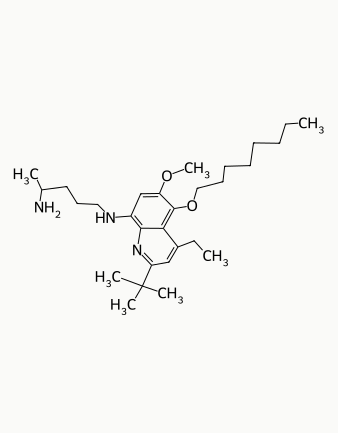 CCCCCCCCOc1c(OC)cc(NCCCC(C)N)c2nc(C(C)(C)C)cc(CC)c12